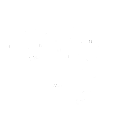 COc1cc(-c2ccnc(-c3cccc(-c4ccc(C=O)c(OC)n4)c3Cl)c2Cl)ccc1C=O